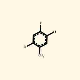 CCc1cc(C)c(Br)cc1F